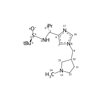 CC(C)[C@@H](N[S@+]([O-])C(C)(C)C)c1cn(CC2CCN(C)C2)cn1